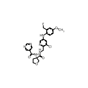 COc1ccc(Nc2cnc(CNC(=O)[C@]3(NC(=O)c4cncnc4)CCOC3)c(Cl)c2)c(CF)c1